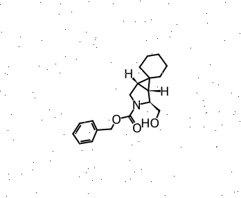 O=C(OCc1ccccc1)N1C[C@H]2[C@@H]([C@H]1CO)C21CCCCC1